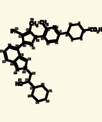 Cc1nc(C2CCC(C(=O)O)CC2)ccc1-n1nc(-c2cccc3nn(CC(O)C4CCCCC4)cc23)c(C(C)C)c1C